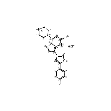 Cc1ccc(-c2nc(-c3cnn4c(C5CCNCC5)cc(=O)[nH]c34)no2)cc1.Cl